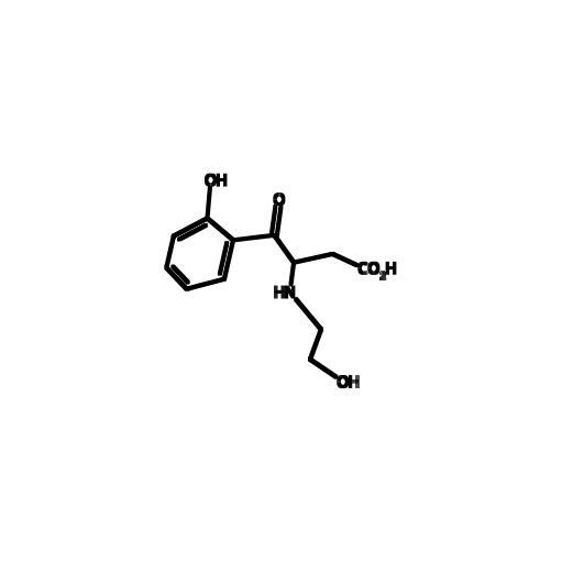 O=C(O)CC(NCCO)C(=O)c1ccccc1O